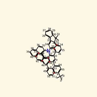 CC(C)(C)c1ccc(-c2cc(-c3ccccc3)c(N(c3ccc4c(c3)-c3ccccc3C4(C)C)c3ccc4ccccc4c3-c3ccc(-c4ccccc4)cc3)c(-c3ccccc3)c2)cc1